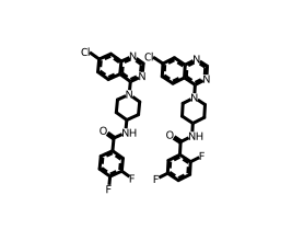 O=C(NC1CCN(c2ncnc3cc(Cl)ccc23)CC1)c1cc(F)ccc1F.O=C(NC1CCN(c2ncnc3cc(Cl)ccc23)CC1)c1ccc(F)c(F)c1